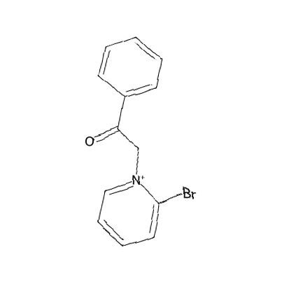 O=C(C[n+]1ccccc1Br)c1ccccc1